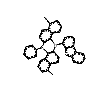 Cc1cccc2c3c(ccc12)N(c1cccc2c1sc1ccccc12)c1c(ccc2c(C)cccc12)N3c1ccccc1